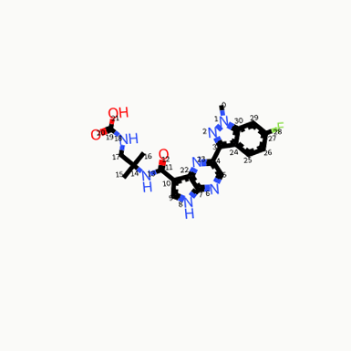 Cn1nc(-c2cnc3[nH]cc(C(=O)NC(C)(C)CNC(=O)O)c3n2)c2ccc(F)cc21